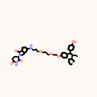 CC/C(=C(\c1ccc(O)cc1)c1ccc(OCCOCCCOCCCNc2ccc3c(c2)CN(C2CCC(=O)NC2=O)C3=O)cc1)c1ccccc1